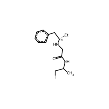 CC[C@@H](Cc1ccccc1)NCC(=O)NC(C)CI